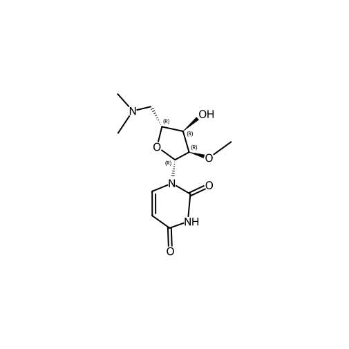 CO[C@@H]1[C@H](O)[C@@H](CN(C)C)O[C@H]1n1ccc(=O)[nH]c1=O